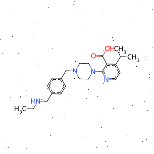 CCNCc1ccc(CN2CCN(c3nccc(C(C)C)c3C(=O)O)CC2)cc1